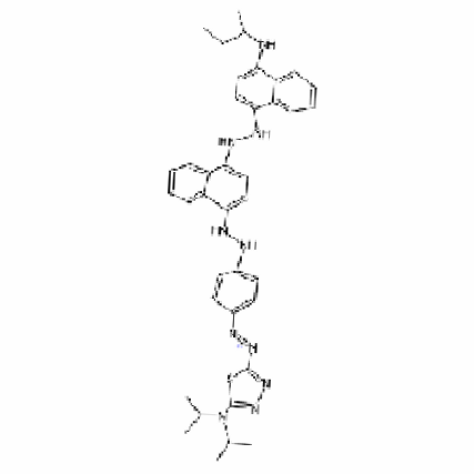 CCC(C)Nc1ccc(NNc2ccc(NNc3ccc(/N=N/c4nnc(N(C(C)C)C(C)C)s4)cc3)c3ccccc23)c2ccccc12